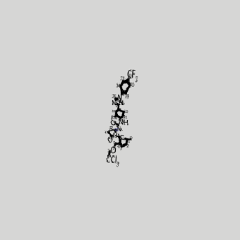 Cc1ccc(COCC(Cl)(Cl)Cl)c(N2C(=O)CS/C2=N\C(=O)Nc2ccc(-c3ncn(-c4ccc(C(F)(F)F)cc4)n3)cc2F)c1